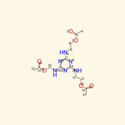 CC(=O)OCCNc1nc(NCCOC(C)=O)nc(NCOC(C)=O)n1